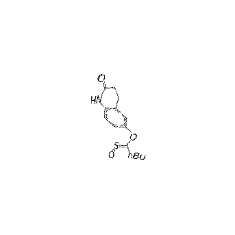 CCCCC(Oc1ccc2c(c1)CCC(=O)N2)=S=O